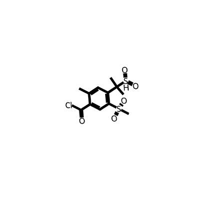 Cc1cc(C(C)(C)[SH](=O)=O)c(S(C)(=O)=O)cc1C(=O)Cl